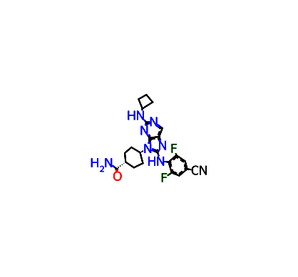 N#Cc1cc(F)c(Nc2nc3cnc(NC4CCC4)nc3n2[C@H]2CC[C@@H](C(N)=O)CC2)c(F)c1